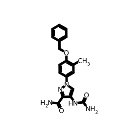 Cc1cc(-n2cc(NC(N)=O)c(C(N)=O)n2)ccc1OCc1ccccc1